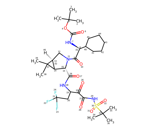 CC(C)(C)OC(=O)N[C@H](C(=O)N1C[C@H]2C([C@H]1C(=O)NC(CC(F)(F)F)C(=O)C(=O)NS(=O)(=O)C(C)(C)C)C2(C)C)C1CCCCC1